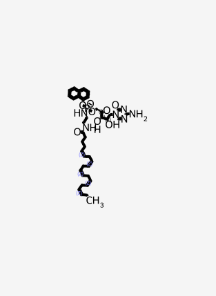 CC/C=C\C/C=C\C/C=C\C/C=C\C/C=C\CCCC(=O)NCCNP(=O)(OC[C@H]1OC(n2cnc(N)nc2=O)[C@H](O)[C@@H]1O)Oc1cccc2ccccc12